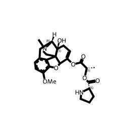 COc1ccc2c3c1OC1C(OC(=O)[C@H](C)OC(=O)[C@@H]4CCCN4)=CC[C@@]4(O)[C@@H](C2)N(C)CCC314